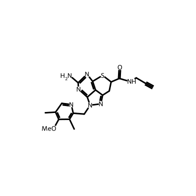 C#CCNC(=O)C1Cc2nn(Cc3ncc(C)c(OC)c3C)c3nc(N)nc(c23)S1